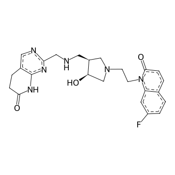 O=C1CCc2cnc(CNC[C@H]3CN(CCn4c(=O)ccc5ccc(F)cc54)C[C@H]3O)nc2N1